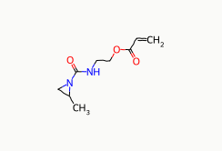 C=CC(=O)OCCNC(=O)N1CC1C